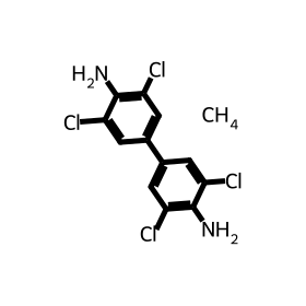 C.Nc1c(Cl)cc(-c2cc(Cl)c(N)c(Cl)c2)cc1Cl